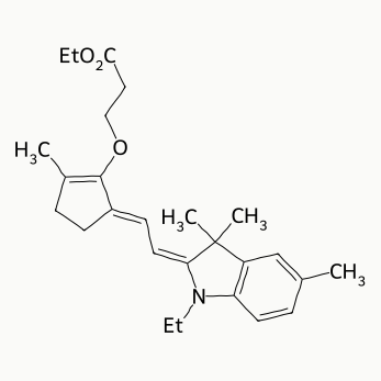 CCOC(=O)CCOC1=C(C)CC/C1=C\C=C1\N(CC)c2ccc(C)cc2C1(C)C